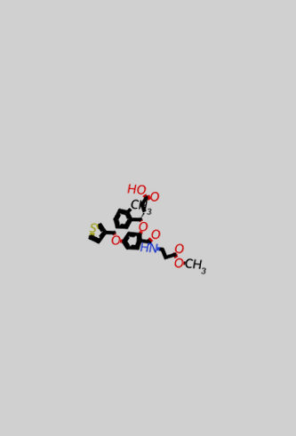 COC(=O)CCNC(=O)c1ccc(OCc2ccsc2)cc1O[C@@H](CCC(=O)O)c1ccccc1C